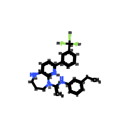 C=C(Nc1cccc(CC)c1)N1CCCNc2ccc(-c3cccc(C(F)(F)F)c3)nc21